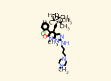 CC(C)[Si](C#Cc1c(-c2ccccc2Cl)c(=O)n(C)c2nc(NCCCCN3CCN(C)CC3)ncc12)(C(C)C)C(C)C